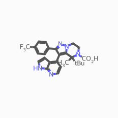 CC(C)(C)C1(C)c2c(-c3ccnc4[nH]ccc34)c(-c3ccc(C(F)(F)F)cc3)nn2CCN1C(=O)O